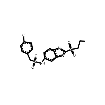 CCCS(=O)(=O)c1nc2ccc(NS(=O)(=O)Cc3ccc(Cl)cc3)cc2s1